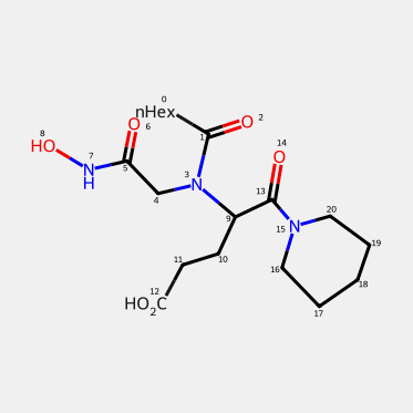 CCCCCCC(=O)N(CC(=O)NO)C(CCC(=O)O)C(=O)N1CCCCC1